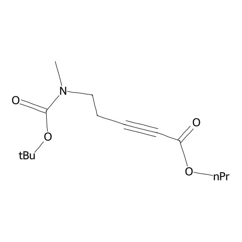 CCCOC(=O)C#CCCN(C)C(=O)OC(C)(C)C